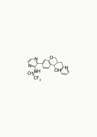 [O-][S+](Nc1nccnc1-c1ccc2c(c1)OCC(Cc1ccccn1)C2O)C(F)(F)F